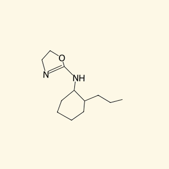 CCCC1CCCCC1NC1=NCCO1